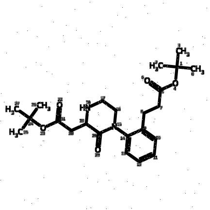 CC(C)(C)OC(=O)CCc1ccccc1N1CCNC(CC(=O)OC(C)(C)C)C1=O